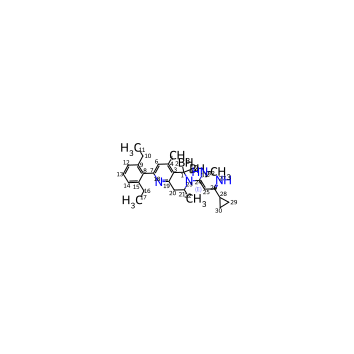 BC1(B)c2c(C)cc(-c3c(CC)cccc3CC)nc2CC(C)N1/C(=C/C(=N)C1CC1)NC